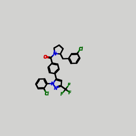 O=C(c1ccc(-c2cc(C(F)(F)F)nn2-c2ccccc2Cl)cc1)N1CCCC1Cc1cccc(Cl)c1